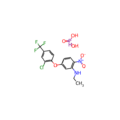 CCNc1cc(Oc2ccc(C(F)(F)F)cc2Cl)ccc1[N+](=O)[O-].O=[PH](O)O